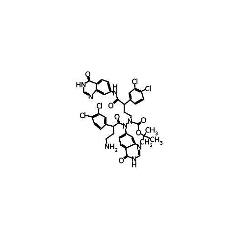 CC(C)(C)OC(=O)N(CCC(C(=O)Nc1ccc2c(=O)[nH]cnc2c1)c1ccc(Cl)c(Cl)c1)N(C(=O)C(CCN)c1ccc(Cl)c(Cl)c1)c1ccc2c(=O)[nH]cnc2c1